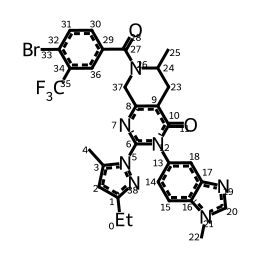 CCc1cc(C)n(-c2nc3c(c(=O)n2-c2ccc4c(c2)ncn4C)CC(C)N(C(=O)c2ccc(Br)c(C(F)(F)F)c2)C3)n1